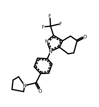 O=C1CCc2c(c(C(F)(F)F)nn2-c2ccc(C(=O)N3CCCC3)cc2)C1